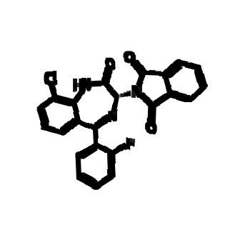 O=C1Nc2c(Cl)cccc2C(c2ccccc2F)=N[C@H]1N1C(=O)c2ccccc2C1=O